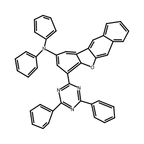 c1ccc(-c2nc(-c3ccccc3)nc(-c3cc(N(c4ccccc4)c4ccccc4)cc4c3oc3cc5ccccc5cc34)n2)cc1